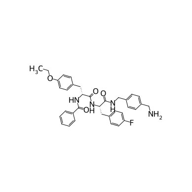 CCOc1ccc(C[C@@H](NC(=O)c2ccccc2)C(=O)N[C@@H](Cc2ccc(F)cc2)C(=O)NCc2ccc(CN)cc2)cc1